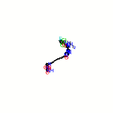 CC(Oc1cc(-c2cnn(C3CCN(C(=O)CCCCCCCCCCCCCCCNc4cccc5c4C(=O)N(C4CCC(=O)NC4=O)C5=O)CC3)c2)cnc1N)c1c(Cl)ccc(F)c1Cl